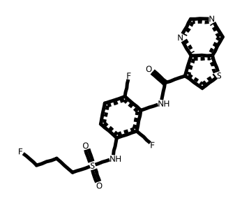 O=C(Nc1c(F)ccc(NS(=O)(=O)CCCF)c1F)c1csc2cncnc12